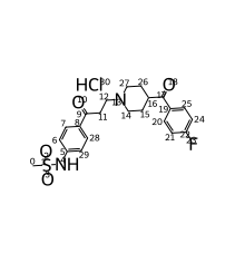 CS(=O)(=O)Nc1ccc(C(=O)CCN2CCC(C(=O)c3ccc(F)cc3)CC2)cc1.Cl